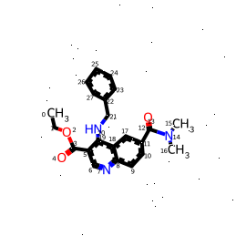 CCOC(=O)c1cnc2ccc(C(=O)N(C)C)cc2c1NCc1ccccc1